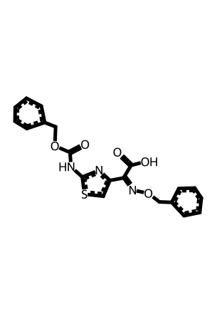 O=C(Nc1nc(/C(=N/OCc2ccccc2)C(=O)O)cs1)OCc1ccccc1